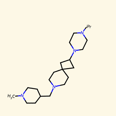 CC(C)N1CCN(C2CC3(CCN(CC4CCN(C)CC4)CC3)C2)CC1